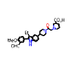 CCc1c(-c2ccc(OC)c(C=O)c2)[nH]c2ccc(C3CCN(C(=O)CN4CCCC(C(=O)O)C4)CC3)cc12